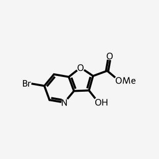 COC(=O)c1oc2cc(Br)cnc2c1O